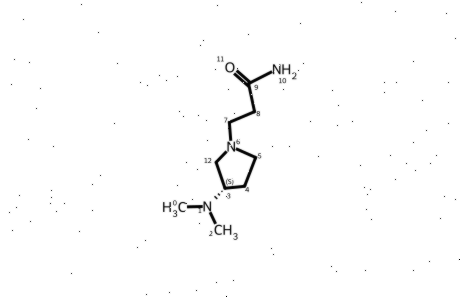 CN(C)[C@H]1CCN(CCC(N)=O)C1